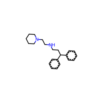 c1ccc(C(CCNCCN2CCCCC2)c2ccccc2)cc1